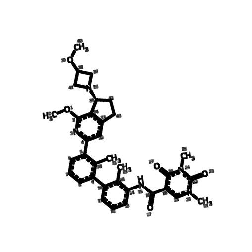 COc1nc(-c2cccc(-c3cccc(NC(=O)c4cn(C)c(=O)n(C)c4=O)c3C)c2C)cc2c1[C@@H](N1CC(OC)C1)CC2